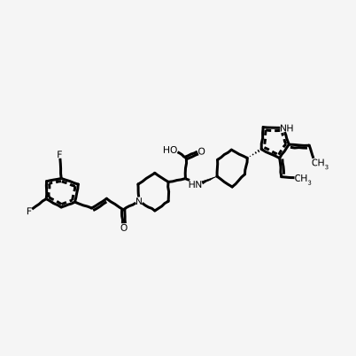 C/C=c1\c(=C/C)[nH]cc1[C@H]1CC[C@H](NC(C(=O)O)C2CCN(C(=O)/C=C/c3cc(F)cc(F)c3)CC2)CC1